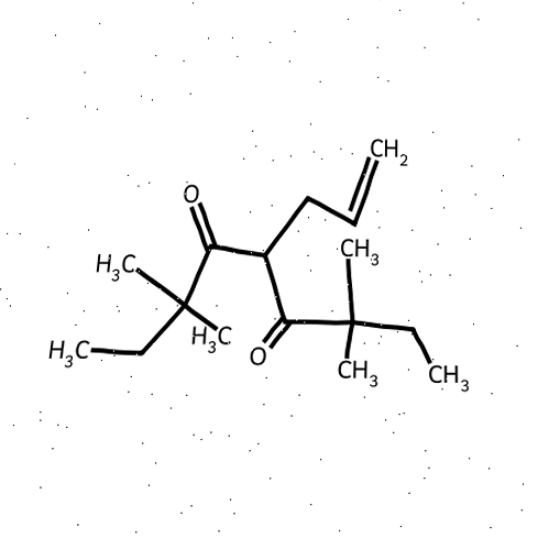 C=CCC(C(=O)C(C)(C)CC)C(=O)C(C)(C)CC